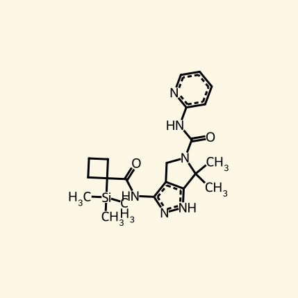 CC1(C)c2[nH]nc(NC(=O)C3([Si](C)(C)C)CCC3)c2CN1C(=O)Nc1ccccn1